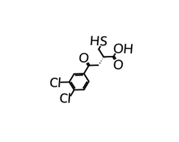 O=C(C[C@H](CS)C(=O)O)c1ccc(Cl)c(Cl)c1